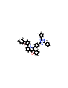 c1ccc(-c2nc(-c3ccccc3)nc(-c3ccc(-c4nc5c(-c6cccc7c6oc6ccccc67)cccc5c5oc6ccccc6c45)cc3)n2)cc1